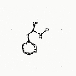 CCNC(=N)[N]c1ccccc1